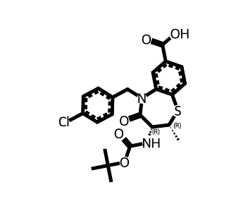 C[C@H]1Sc2ccc(C(=O)O)cc2N(Cc2ccc(Cl)cc2)C(=O)[C@H]1NC(=O)OC(C)(C)C